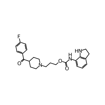 O=C(Nc1cccc2c1NCC2)OCCCN1CCC(C(=O)c2ccc(F)cc2)CC1